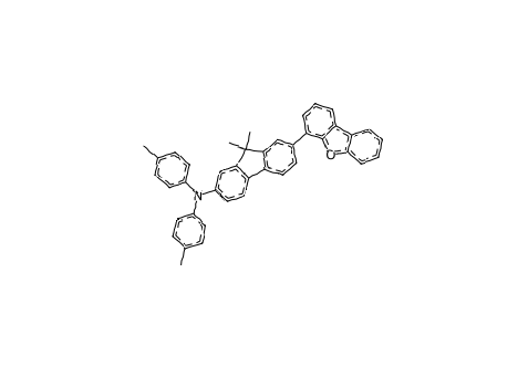 Cc1ccc(N(c2ccc(C)cc2)c2ccc3c(c2)C(C)(C)c2cc(-c4cccc5c4oc4ccccc45)ccc2-3)cc1